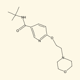 CC(C)(C)NC(=O)c1ccc(OCCN2CCOCC2)nc1